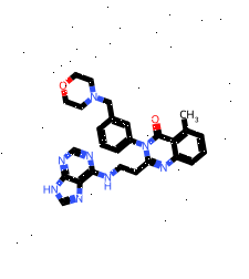 Cc1cccc2nc(CCNc3ncnc4[nH]cnc34)n(-c3cccc(CN4CCOCC4)c3)c(=O)c12